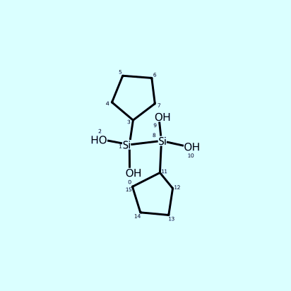 O[Si](O)(C1CCCC1)[Si](O)(O)C1CCCC1